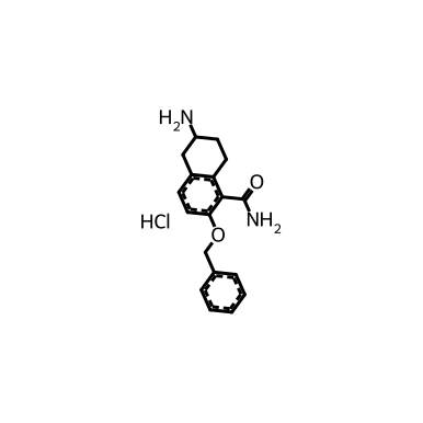 Cl.NC(=O)c1c(OCc2ccccc2)ccc2c1CCC(N)C2